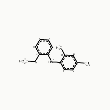 Cc1ccc(Nc2ccccc2CC(=O)O)c(C)c1